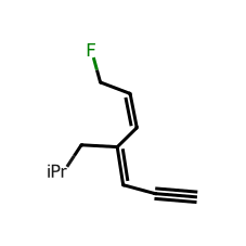 C#C/C=C(\C=C/CF)CC(C)C